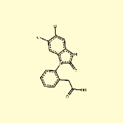 O=C(O)Cc1ccccc1-n1c(=O)[nH]c2cc(Cl)c(Cl)cc21